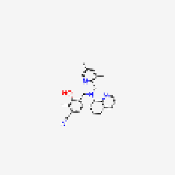 Cc1cnc(CN(Cc2ccc(C#N)c(C)c2O)C2CCCc3cccnc32)c(C)c1